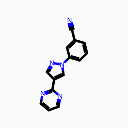 N#Cc1cccc(-n2cc(-c3ncccn3)cn2)c1